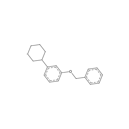 [CH]1CCCC(c2cccc(OCc3ccccc3)c2)C1